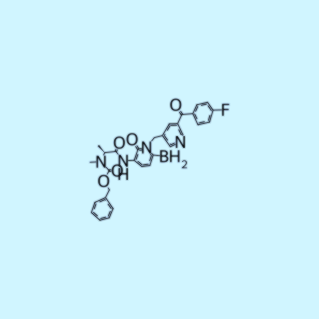 Bc1ccc(NC(=O)[C@H](C)N(C)C(=O)OCc2ccccc2)c(=O)n1Cc1cncc(C(=O)c2ccc(F)cc2)c1